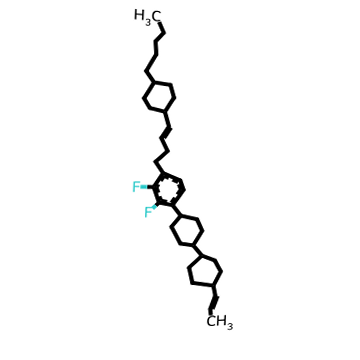 C/C=C/C1CCC(C2CCC(c3ccc(CC/C=C/C4CCC(CCCCC)CC4)c(F)c3F)CC2)CC1